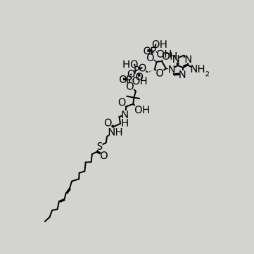 CCCCC=CC=CCCCCCCCC(=O)SCCNC(=O)CCNC(=O)C(O)C(C)(C)COP(=O)(O)OP(=O)(O)OC[C@H]1O[C@@H](n2cnc3c(N)ncnc32)[C@H](O)[C@@H]1OP(=O)(O)O